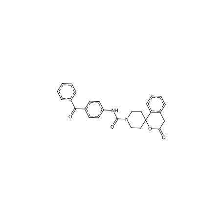 O=C1Cc2ccccc2C2(CCN(C(=O)Nc3ccc(C(=O)c4ccccc4)cc3)CC2)O1